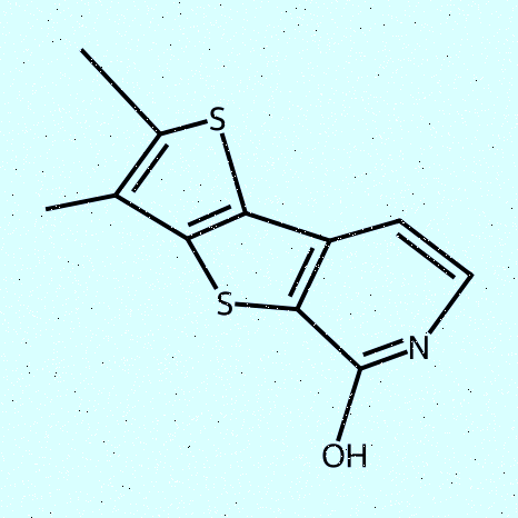 Cc1sc2c(sc3c(O)nccc32)c1C